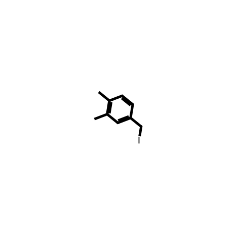 Cc1ccc(CI)cc1C